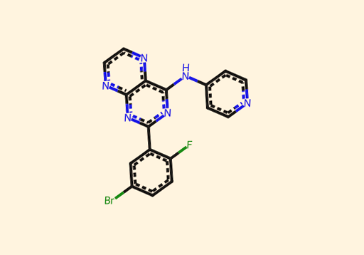 Fc1ccc(Br)cc1-c1nc(Nc2ccncc2)c2nccnc2n1